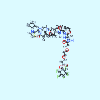 CC[C@H](C)[C@@H]([C@@H](CC(=O)N1CCC[C@H]1[C@H](OC)[C@@H](C)C(=O)N[C@@H](Cc1ccccc1)c1nccs1)OC)N(C)C(=O)[C@@H](NC(=O)C(C)(C)NC(=O)CCOCCOCCC(=O)Oc1c(F)c(F)c(F)c(F)c1F)C(C)C